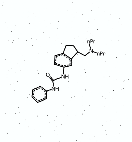 CCCN(CCC)CC1CCc2ccc(NC(=O)Nc3ccccc3)cc21